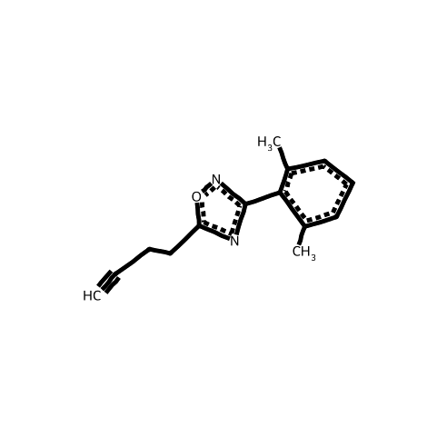 C#CCCc1nc(-c2c(C)cccc2C)no1